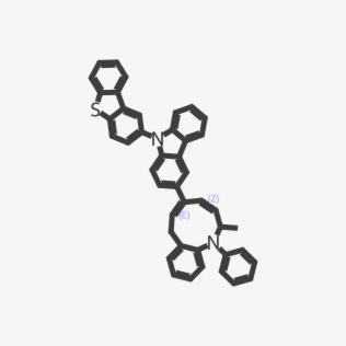 CC1/C=C\C(c2ccc3c(c2)c2ccccc2n3-c2ccc3sc4ccccc4c3c2)=C/Cc2ccccc2N1c1ccccc1